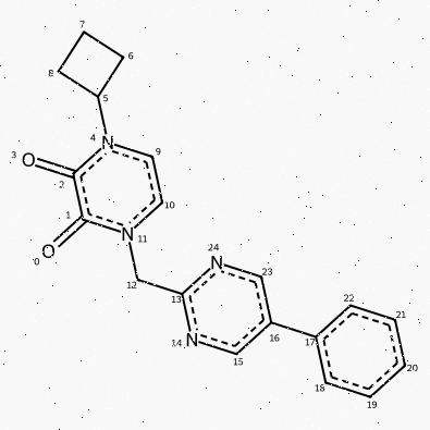 O=c1c(=O)n(C2CCC2)ccn1Cc1ncc(-c2ccccc2)cn1